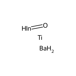 [BaH2].[O]=[InH].[Ti]